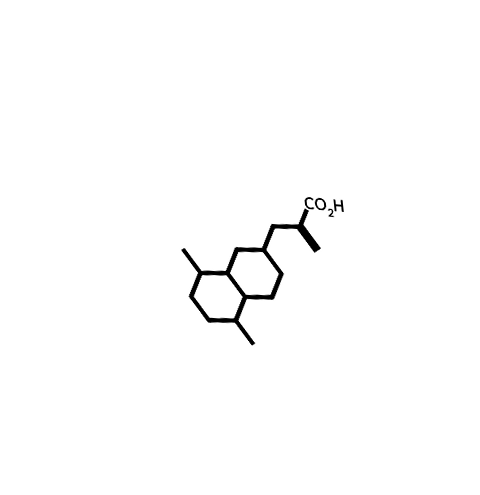 C=C(CC1CCC2C(C)CCC(C)C2C1)C(=O)O